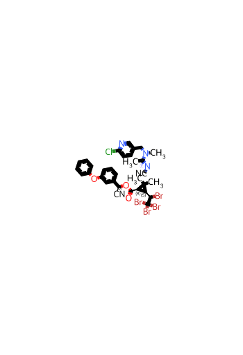 C/C(=N\C#N)N(C)Cc1ccc(Cl)nc1.CC1(C)[C@H](C(=O)O[C@H](C#N)c2cccc(Oc3ccccc3)c2)[C@@H]1C(Br)C(Br)(Br)Br